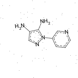 Nc1cnn(-c2cccnc2)c1N